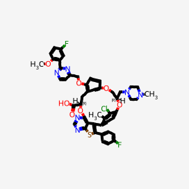 COc1ccc(F)cc1-c1nccc(COc2ccc3cc2C[C@H](C(=O)O)Oc2ncnc4sc(-c5ccc(F)cc5)c(c24)-c2ccc(c(Cl)c2C)O[C@H](CN2CCN(C)CC2)CO3)n1